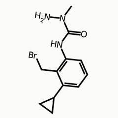 CN(N)C(=O)Nc1cccc(C2CC2)c1CBr